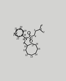 CC(C)CCS(=O)(=O)N(CC1CCCCCCC1)c1cccnc1